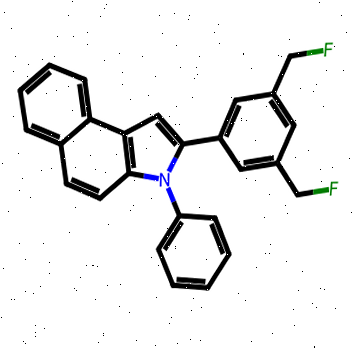 FCc1cc(CF)cc(-c2cc3c4ccccc4ccc3n2-c2ccccc2)c1